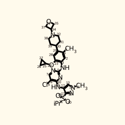 Cc1cc(Nc2ncc(Cl)c(Nc3cn(C)nc3S(=O)(=O)C(C)C)n2)c(OC2CC2)cc1C1CCN(C2COC2)CC1